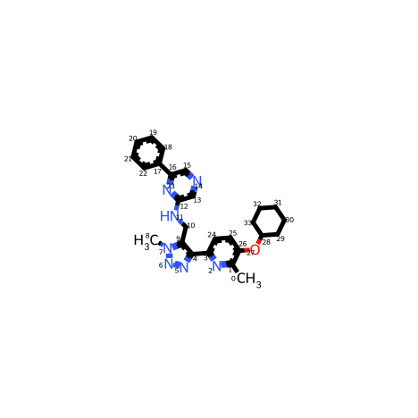 Cc1nc(-c2nnn(C)c2CNc2cncc(-c3ccccc3)n2)ccc1OC1CCCCC1